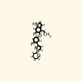 C=Cc1c(Oc2ccc(F)c(-c3ccn(C4CCCCO4)n3)c2)c(F)cc2[nH]ccc12